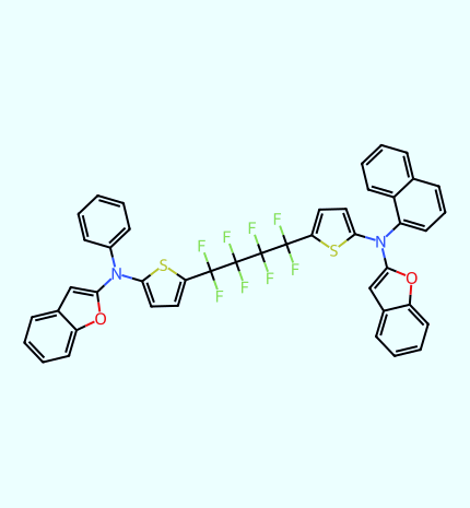 FC(F)(c1ccc(N(c2ccccc2)c2cc3ccccc3o2)s1)C(F)(F)C(F)(F)C(F)(F)c1ccc(N(c2cc3ccccc3o2)c2cccc3ccccc23)s1